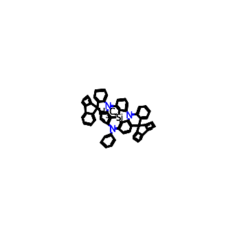 C[Si]12c3c4cccc3N3c5ccccc5C5(c6ccccc6-c6ccccc65)c5ccc(c1c53)N(c1ccccc1)c1ccc3c(c12)N4c1ccccc1C31c2ccccc2-c2ccccc21